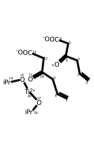 C=CCC(=O)CC(=O)[O-].C=CCC(=O)CC(=O)[O-].CC(C)[O][Ti+2][O]C(C)C